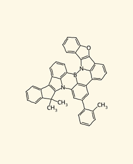 Cc1ccccc1-c1cc2c3c(c1)-n1c4c(c5cccc(c51)B3n1c3c-2cccc3c2oc3ccccc3c21)-c1ccccc1C4(C)C